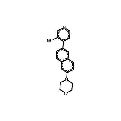 N#Cc1cnccc1-c1ccc2cc(N3CCOCC3)ccc2c1